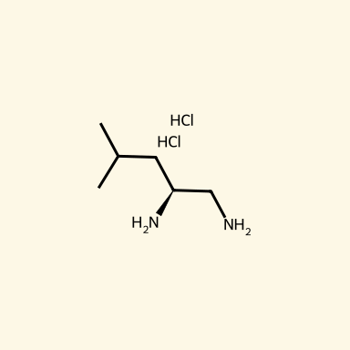 CC(C)C[C@H](N)CN.Cl.Cl